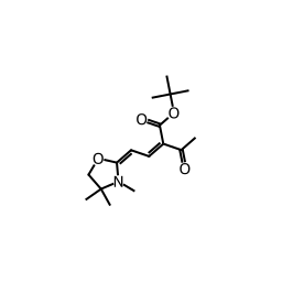 CC(=O)C(=CC=C1OCC(C)(C)N1C)C(=O)OC(C)(C)C